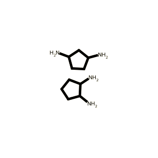 NC1CCC(N)C1.NC1CCCC1N